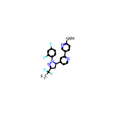 CSc1ccc(-c2cc(C3CC(C(F)(F)C(F)(F)F)=NN3c3ccc(F)cc3F)ccn2)cn1